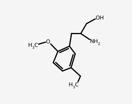 CCc1ccc(OC)c(CC(N)CO)c1